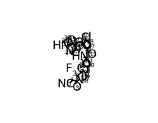 N#CCC(=O)N1CCN(Cc2ccc(NC(=O)c3ccc(Cl)c(Oc4ncnc5c4OCCN5)c3)cc2C(F)(F)F)CC1